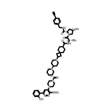 C#Cc1ccc(CNC(=O)[C@@H]2C[C@@H](O)CN2C(=O)[C@@H](NC(=O)C2CCC3(CC2)CC(N2CCC(N4CCC[C@@H](C(=O)N5CCN(c6cc(-c7ccccc7O)nnc6NC)CC5)C4)CC2)C3)C(C)(C)C)cc1